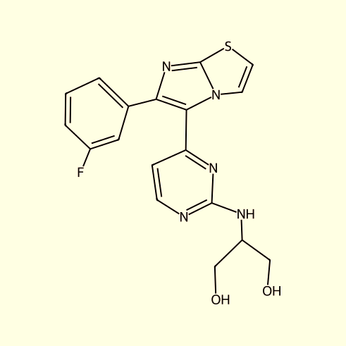 OCC(CO)Nc1nccc(-c2c(-c3cccc(F)c3)nc3sccn23)n1